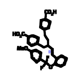 COc1ccc(C(F)(F)Oc2ccccc2/C=C/C(CCc2ccc(C(=O)O)cc2)Cc2ccc(C(=O)O)cc2)cc1